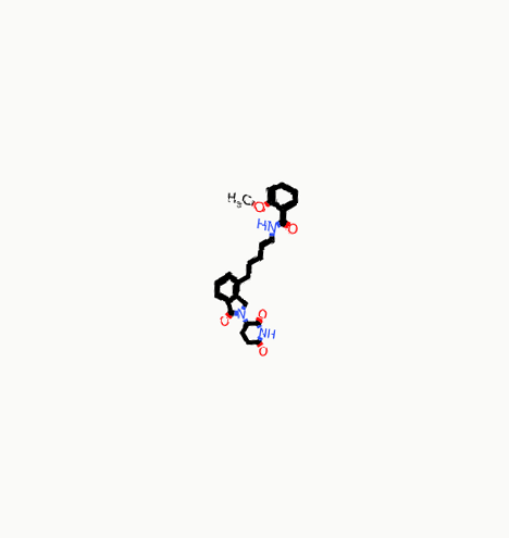 COc1ccccc1C(=O)NCCCCCc1cccc2c1CN(C1CCC(=O)NC1=O)C2=O